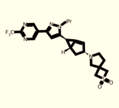 CC(C)n1nc(-c2cnc(C(F)(F)F)nc2)cc1[C@H]1C2=C[C@H](N3CCC4(C3)CS(=O)(=O)C4)C[C@@H]21